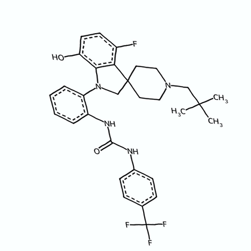 CC(C)(C)CN1CCC2(CC1)CN(c1ccccc1NC(=O)Nc1ccc(C(F)(F)F)cc1)c1c(O)ccc(F)c12